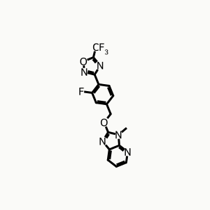 Cn1c(OCc2ccc(-c3noc(C(F)(F)F)n3)c(F)c2)nc2cccnc21